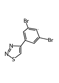 Brc1[c]c(Br)cc(-c2csnn2)c1